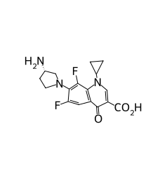 N[C@H]1CCN(c2c(F)cc3c(=O)c(C(=O)O)cn(C4CC4)c3c2F)C1